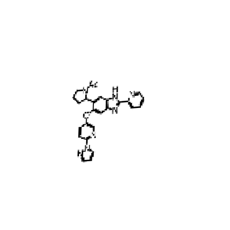 CC(=O)N1CCCC1c1cc2[nH]c(-c3ccccn3)nc2cc1Oc1ccc(-n2cccn2)nc1